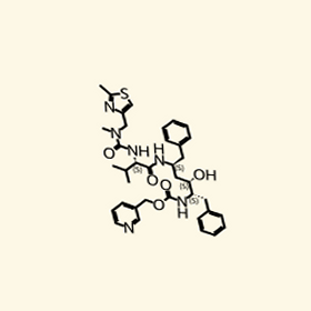 Cc1nc(CN(C)C(=O)N[C@H](C(=O)N[C@@H](Cc2ccccc2)C[C@H](O)[C@H](Cc2ccccc2)NC(=O)OCc2cccnc2)C(C)C)cs1